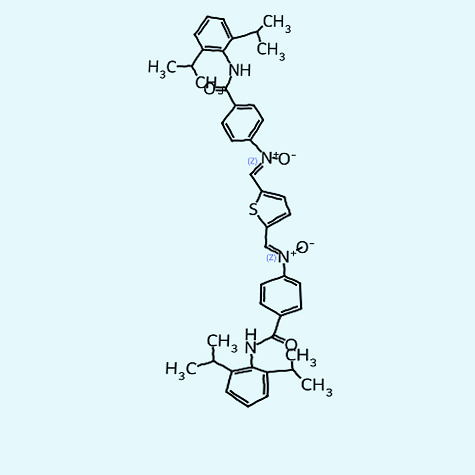 CC(C)c1cccc(C(C)C)c1NC(=O)c1ccc(/[N+]([O-])=C/c2ccc(/C=[N+](\[O-])c3ccc(C(=O)Nc4c(C(C)C)cccc4C(C)C)cc3)s2)cc1